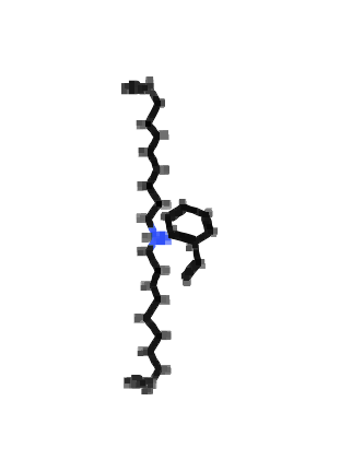 C=Cc1ccccc1.CCCCCCCCCCCCCCCCCCNCCCCCCCCCCCCCCCCCC